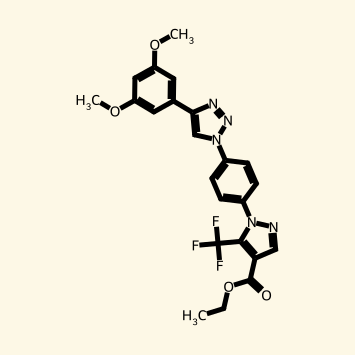 CCOC(=O)c1cnn(-c2ccc(-n3cc(-c4cc(OC)cc(OC)c4)nn3)cc2)c1C(F)(F)F